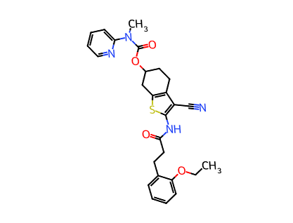 CCOc1ccccc1CCC(=O)Nc1sc2c(c1C#N)CCC(OC(=O)N(C)c1ccccn1)C2